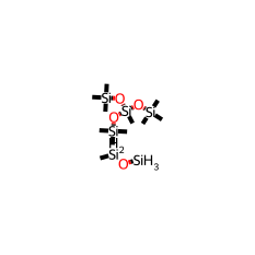 C[SiH2]O[SiH3].C[Si](C)(C)O[Si](C)(O[Si](C)(C)C)O[Si](C)(C)C